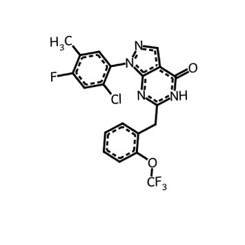 Cc1cc(-n2ncc3c(=O)[nH]c(Cc4ccccc4OC(F)(F)F)nc32)c(Cl)cc1F